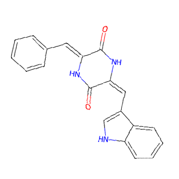 O=c1[nH]c(=Cc2c[nH]c3ccccc23)c(=O)[nH]c1=Cc1ccccc1